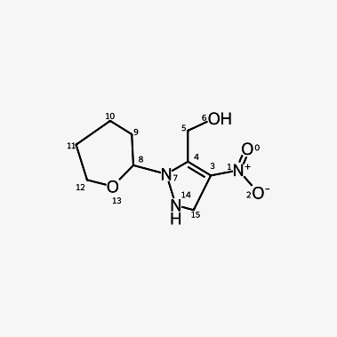 O=[N+]([O-])C1=C(CO)N(C2CCCCO2)NC1